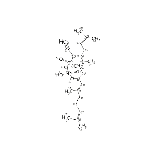 C#COP(=O)(O)OP(=O)(O)OC(/C=C(\C)CCC=C(C)C)C/C=C(\C)CCC=C(C)C